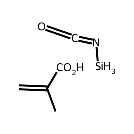 C=C(C)C(=O)O.O=C=N[SiH3]